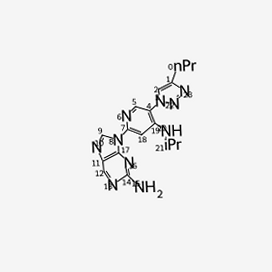 CCCc1cn(-c2cnc(-n3cnc4cnc(N)nc43)cc2NC(C)C)nn1